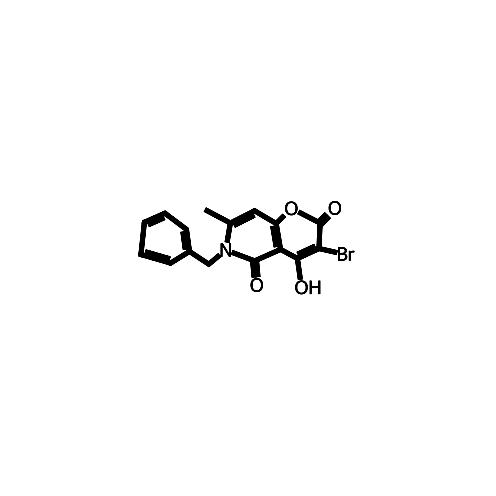 Cc1cc2oc(=O)c(Br)c(O)c2c(=O)n1Cc1ccccc1